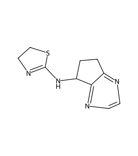 c1cnc2c(n1)CCC2NC1=NCCS1